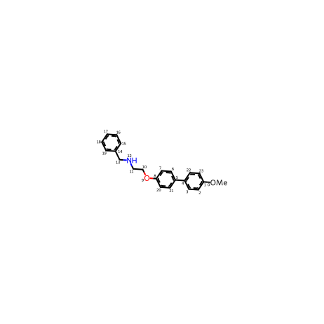 COc1ccc(-c2ccc(OCCNCc3ccccc3)cc2)cc1